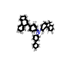 CC1(C)c2ccccc2-c2cc(N(c3ccc(-c4ccccc4)cc3)c3ccc(-c4cc5ccccc5c5ccccc45)cc3)ccc21